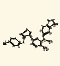 N#Cc1ccc(Cn2nccc2-c2ccc(N)c(N(N)c3ccc4cn[nH]c4c3)c2)cc1